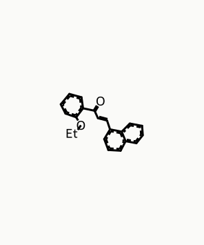 CCOc1ccccc1C(=O)C=Cc1cccc2ccccc12